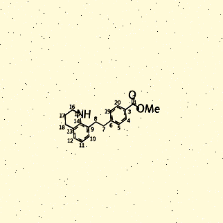 COC(=O)c1ccc(CCc2cccc3c2NCCC3)cc1